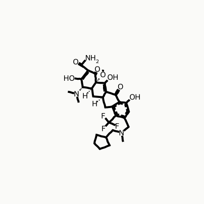 CO[C@@]12C(=O)C(C(N)=O)=C(O)[C@@H](N(C)C)[C@@H]1C[C@@H]1Cc3c(c(O)cc(CN(C)CC4CCCC4)c3C(F)(F)F)C(=O)C1=C2O